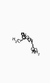 CCCCc1cc(OC2CCN(CCCCCOC(N)=O)CC2)c2ncccc2c1